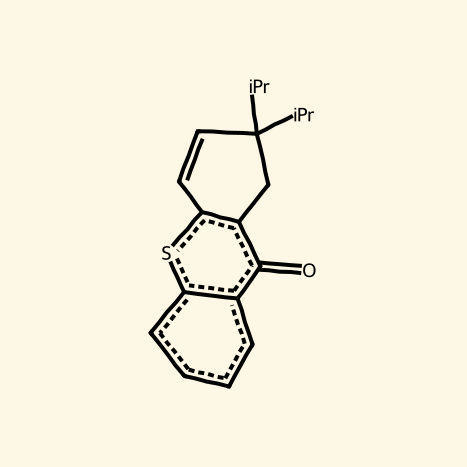 CC(C)C1(C(C)C)C=Cc2sc3ccccc3c(=O)c2C1